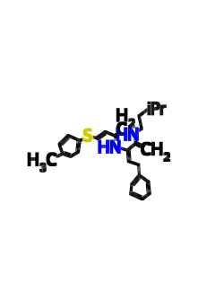 C=C(/C=C/Sc1ccc(C)cc1)N/C(=C/Cc1ccccc1)C(=C)NCCC(C)C